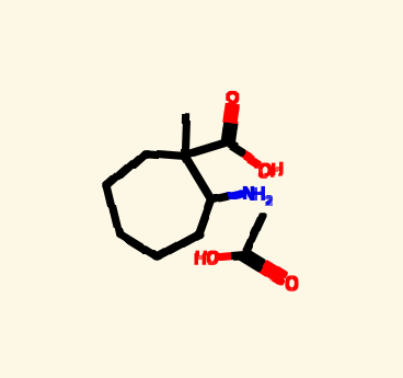 CC(=O)O.CC1(C(=O)O)CCCCCC1N